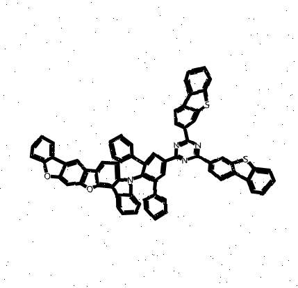 c1ccc(-c2cc(-c3nc(-c4ccc5c(c4)sc4ccccc45)nc(-c4ccc5c(c4)sc4ccccc45)n3)cc(-c3ccccc3)c2-n2c3ccccc3c3c4oc5cc6oc7ccccc7c6cc5c4ccc32)cc1